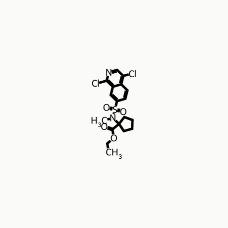 CCOC(=O)C1(N(C)S(=O)(=O)c2ccc3c(Cl)cnc(Cl)c3c2)CCCC1